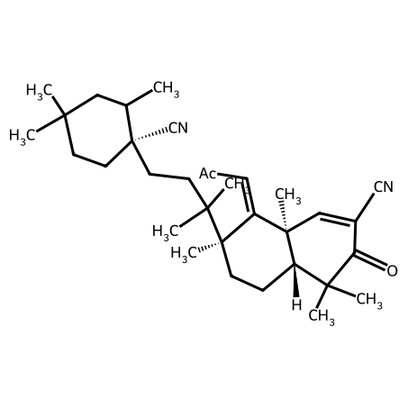 CC(=O)/C=C1/[C@@]2(C)C=C(C#N)C(=O)C(C)(C)[C@@H]2CC[C@@]1(C)C(C)(C)CC[C@@]1(C#N)CCC(C)(C)CC1C